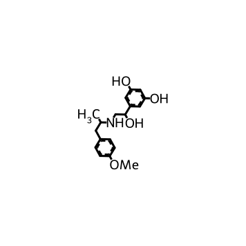 COc1ccc(CC(C)NCC(O)c2cc(O)cc(O)c2)cc1